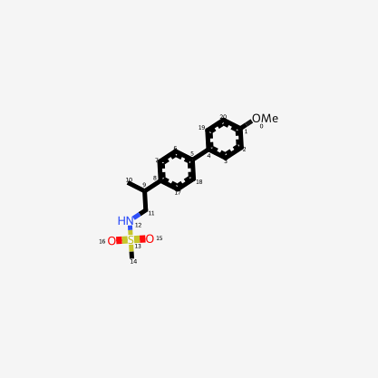 COc1ccc(-c2ccc(C(C)CNS(C)(=O)=O)cc2)cc1